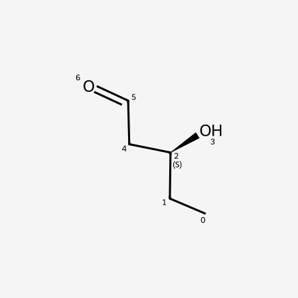 CC[C@H](O)CC=O